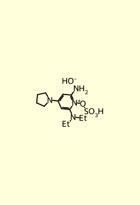 CCN(CC)c1cc(N2CCCC2)cc(N)[n+]1OS(=O)(=O)O.[OH-]